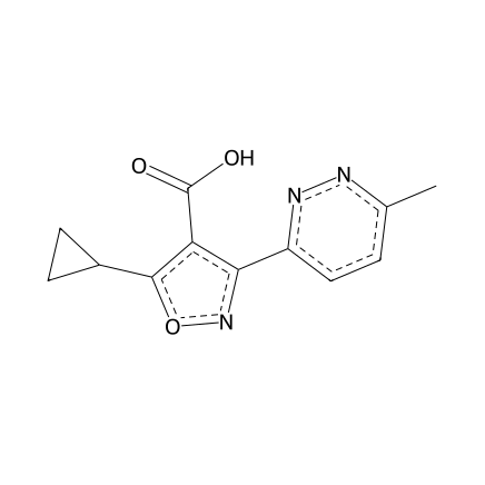 Cc1ccc(-c2noc(C3CC3)c2C(=O)O)nn1